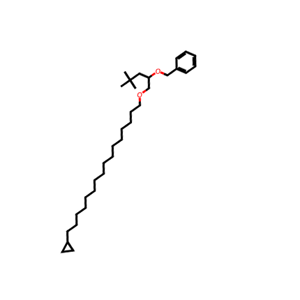 CC(C)(C)CC(COCCCCCCCCCCCCCCCCC1CC1)OCc1ccccc1